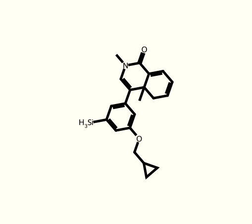 CN1C=C(c2cc([SiH3])cc(OCC3CC3)c2)C2(C)CC=CC=C2C1=O